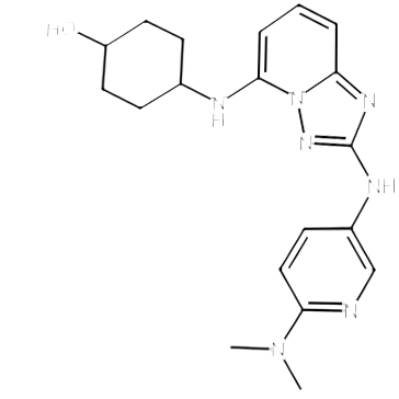 CN(C)c1ccc(Nc2nc3cccc(NC4CCC(O)CC4)n3n2)cn1